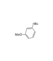 CCCCc1c[c]cc(OC)c1